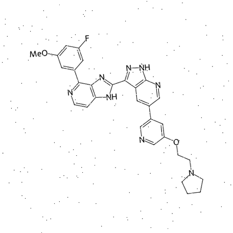 COc1cc(F)cc(-c2nccc3[nH]c(-c4n[nH]c5ncc(-c6cncc(OCCN7CCCC7)c6)cc45)nc23)c1